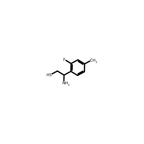 Cc1ccc(C(N)CS)c(F)c1